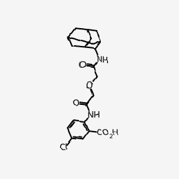 O=C(COCC(=O)NC1C2CC3CC(C2)CC1C3)Nc1ccc(Cl)cc1C(=O)O